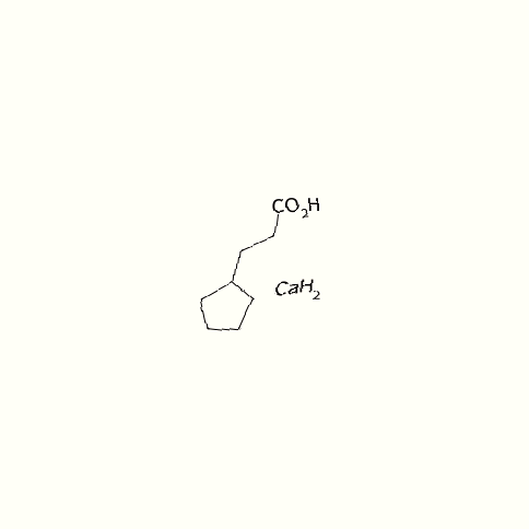 O=C(O)CCC1CCCC1.[CaH2]